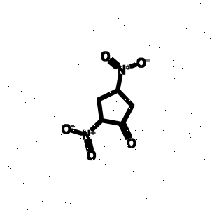 O=C1CC([N+](=O)[O-])CC1[N+](=O)[O-]